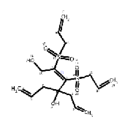 C=CCC(O)(CC=C)/C(=C(\CO)S(=O)(=O)CC=C)S(=O)(=O)CC=C